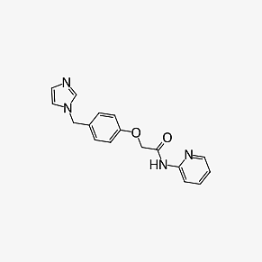 O=C(COc1ccc(Cn2ccnc2)cc1)Nc1ccccn1